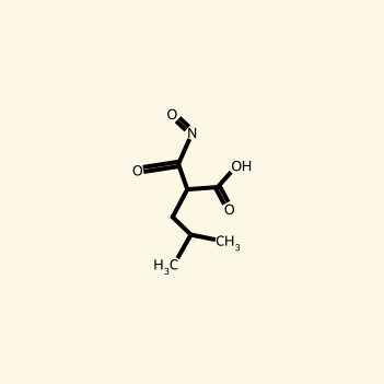 CC(C)CC(C(=O)O)C(=O)N=O